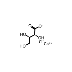 O=C([O-])[C@@H](O)[C@H](O)CO.[Ca+2].[Cl-]